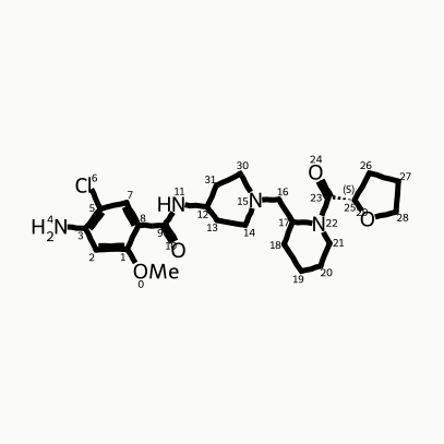 COc1cc(N)c(Cl)cc1C(=O)NC1CCN(CC2CCCCN2C(=O)[C@@H]2CCCO2)CC1